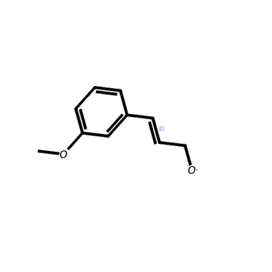 COc1cccc(/C=C/C[O])c1